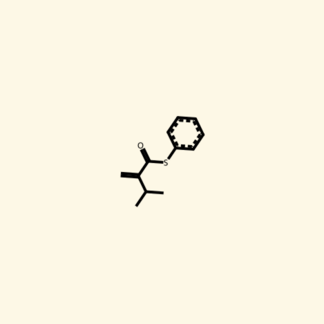 C=C(C(=O)Sc1ccccc1)C(C)C